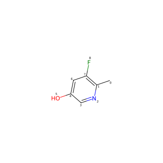 Cc1ncc(O)cc1F